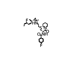 C=C(/C=C\C(F)=C/C)[C@@H]1CC1(C)NCCSC[C@H](NC(=O)c1ccc(F)cc1)C(=O)N1CCCCC1